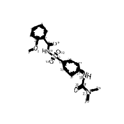 COc1ccccc1C(=O)NS(=O)(=O)c1ccc(NC(=O)N(C)C)cc1